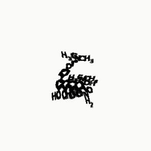 CN(C)CCCOc1ccc(-c2ccc(O)c3c2C[C@H]2C[C@H]4[C@H](N(C)C)C(O)=C(C(N)=O)C(=O)[C@@]4(O)C(O)=C2C3=O)cc1